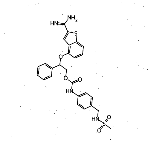 CS(=O)(=O)NCc1ccc(NC(=O)OCC(Oc2cccc3sc(C(=N)N)cc23)c2ccccc2)cc1